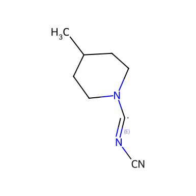 CC1CCN(/[C]=N/C#N)CC1